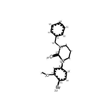 COc1cc(N2CCCN(Cc3ccccc3)C2=O)ccc1Br